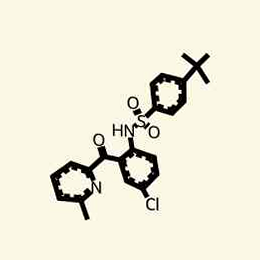 Cc1cccc(C(=O)c2cc(Cl)ccc2NS(=O)(=O)c2ccc(C(C)(C)C)cc2)n1